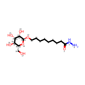 NNC(=O)CCCCCCCCO[C@H]1O[C@H](CO)[C@@H](O)[C@H](O)[C@@H]1O